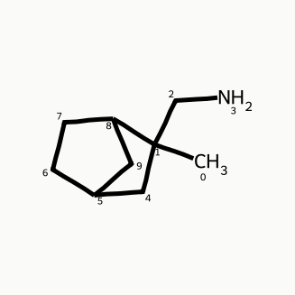 CC1(CN)CC2CCC1C2